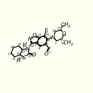 C[C@@H]1CN(c2c(C=O)cc3c(N4C(=O)S[C@H]5CCCC[C@H]54)noc3c2F)C[C@@H](C)O1